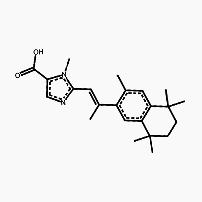 CC(=Cc1ncc(C(=O)O)n1C)c1cc2c(cc1C)C(C)(C)CCC2(C)C